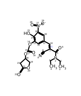 CCN(CC)C(=O)/C(C#N)=C/c1cc(OC(=O)OC2COC(=O)C2)c(O)c([N+](=O)[O-])c1